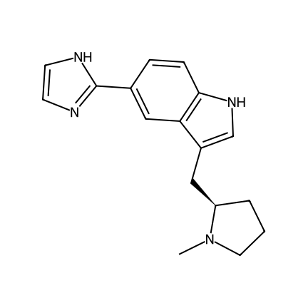 CN1CCC[C@@H]1Cc1c[nH]c2ccc(-c3ncc[nH]3)cc12